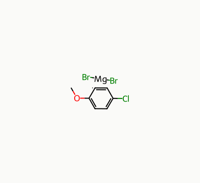 COc1[c]cc(Cl)cc1.[Br][Mg][Br]